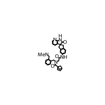 CNCc1ccccc1CN(CC(=O)Nc1ccc2c(c1)CC1(C2)C(=O)Nc2ncccc21)C(=O)C12CCC(C1)C2